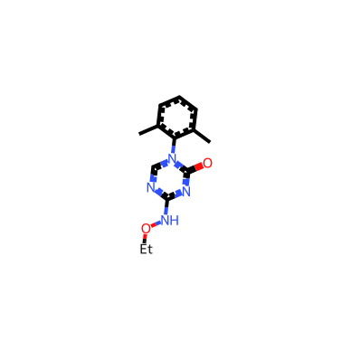 CCONc1ncn(-c2c(C)cccc2C)c(=O)n1